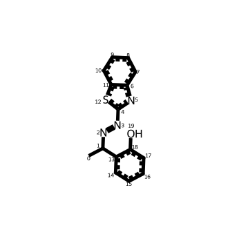 CC(/N=N/c1nc2ccccc2s1)c1ccccc1O